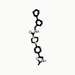 CC1NC=C(c2ccc(N3CCN(C(=O)NCc4cccc(-c5ccccc5)c4)CC3)cc2)O1